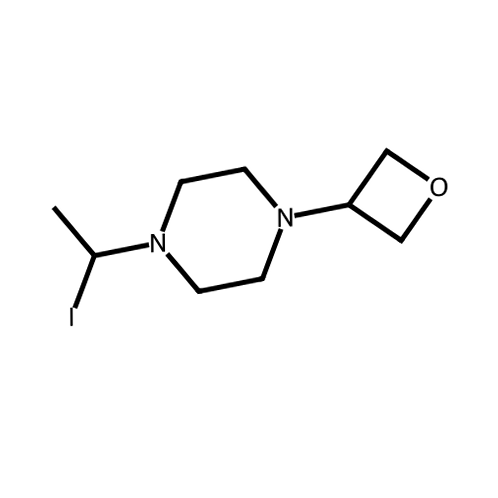 CC(I)N1CCN(C2COC2)CC1